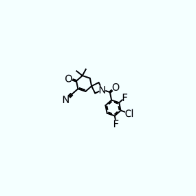 CC1(C)CC2(C=C(C#N)C1=O)CN(C(=O)c1ccc(F)c(Cl)c1F)C2